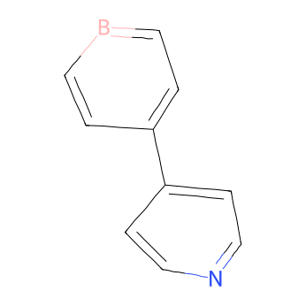 b1ccc(-c2ccncc2)cc1